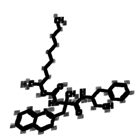 CCCCCCCCC(C)OC(=O)NC(C)(Cc1ccc2ccccc2n1)C(=O)NC(CO)Cc1ccccc1